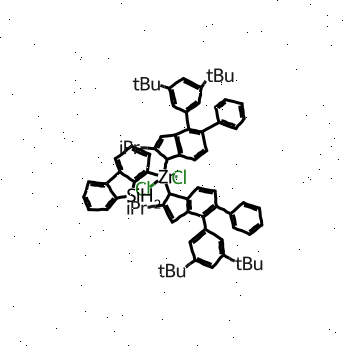 CC(C)C1=Cc2c(ccc(-c3ccccc3)c2-c2cc(C(C)(C)C)cc(C(C)(C)C)c2)[CH]1[Zr]([Cl])([Cl])([c]1cccc2c1[SiH2]c1ccccc1-2)[CH]1C(C(C)C)=Cc2c1ccc(-c1ccccc1)c2-c1cc(C(C)(C)C)cc(C(C)(C)C)c1